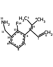 C=CC(=C(C)C)c1ccnc(CN)c1F